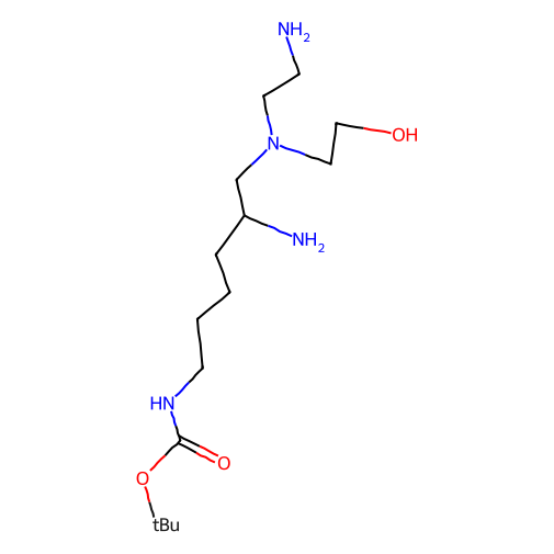 CC(C)(C)OC(=O)NCCCCC(N)CN(CCN)CCO